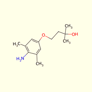 Cc1cc(OCCC(C)(C)O)cc(C)c1N